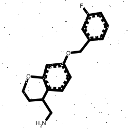 NCC1CCOc2cc(OCc3cccc(F)c3)ccc21